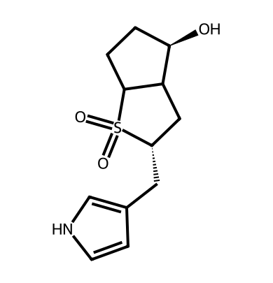 O=S1(=O)C2CC[C@@H](O)C2C[C@@H]1Cc1cc[nH]c1